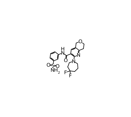 NS(=O)(=O)c1cccc(NC(=O)c2cc3c(nc2N2CCCC(F)(F)CC2)CCOC3)c1